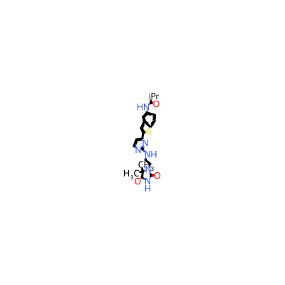 CC(C)C(=O)Nc1ccc2sc(-c3ccnc(NCCN4C(=O)NC(=O)C4(C)C)n3)cc2c1